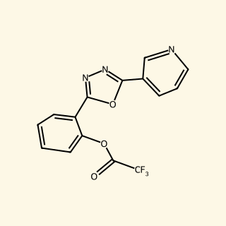 O=C(Oc1ccccc1-c1nnc(-c2cccnc2)o1)C(F)(F)F